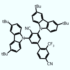 CC(C)(C)c1ccc2c(c1)c1cc(C(C)(C)C)ccc1n2-c1cc(-c2ccc(C#N)cc2C(F)(F)F)cc(-n2c3ccc(C(C)(C)C)cc3c3cc(C(C)(C)C)ccc32)c1C#N